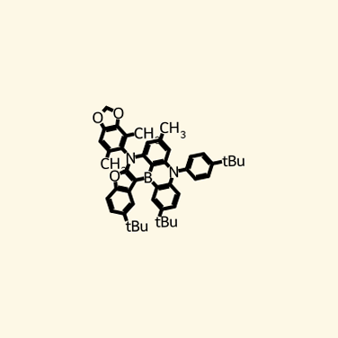 Cc1cc2c3c(c1)N(c1c(C)cc4c(c1C)OCO4)c1oc4ccc(C(C)(C)C)cc4c1B3c1cc(C(C)(C)C)ccc1N2c1ccc(C(C)(C)C)cc1